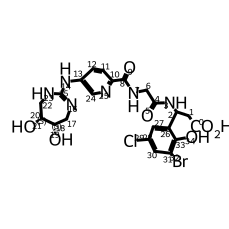 O=C(O)CC(NC(=O)CNC(=O)c1ccc(NC2=NC[C@H](O)[C@@H](O)CN2)cn1)c1cc(Cl)cc(Br)c1O